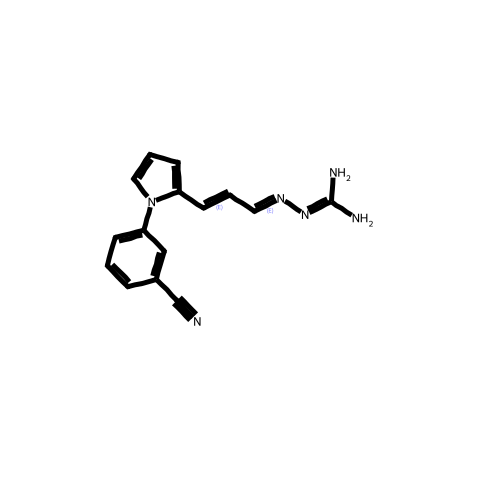 N#Cc1cccc(-n2cccc2/C=C/C=N/N=C(N)N)c1